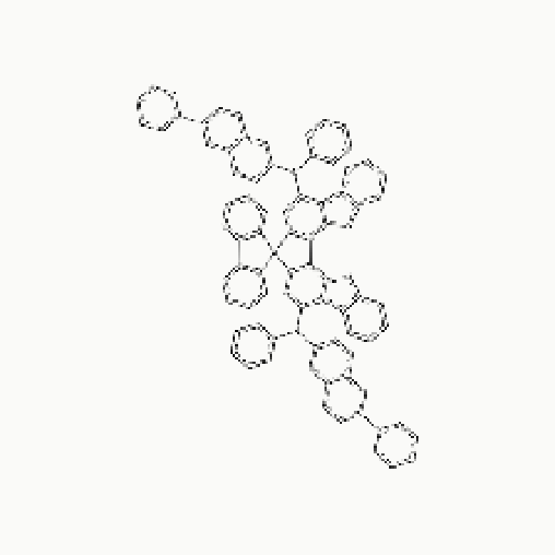 c1ccc(-c2ccc3cc(N(c4ccccc4)c4cc5c(c6sc7ccccc7c46)-c4c(cc(N(c6ccccc6)c6ccc7cc(-c8ccccc8)ccc7c6)c6c4sc4ccccc46)C54c5ccccc5-c5ccccc54)ccc3c2)cc1